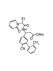 CCC(C(=O)NC(CC(=O)OC)c1ccc(C#N)c(-c2ccccc2C)c1)n1ccccc1=O